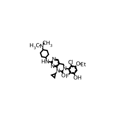 CCOc1cc(O)c(F)c(N2Cc3cnc(NC4CCC(N(C)C)CC4)nc3N(C3CC3)C2=O)c1Cl